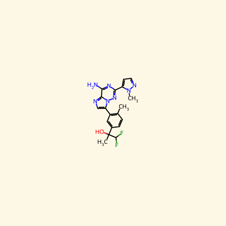 Cc1ccc(C(C)(O)C(F)F)cc1-c1cnc2c(N)nc(-c3ccnn3C)nn12